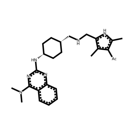 CC(=O)c1c(C)[nH]c(CNC[C@H]2CC[C@@H](Nc3nc(N(C)C)c4ccccc4n3)CC2)c1C